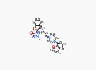 NC(=O)Nc1oc2ccccc2c1CCCCN1CCCN(c2cccc3c2OCCC3)CC1